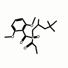 CCC(=O)P(=O)(CC(C)CC(C)(C)C)C(=O)c1c(OC)cccc1OC